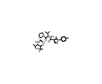 Cc1ccc(-n2ncc(C(=O)N[C@H](C(=O)N3CCC[C@H]3C(=O)N[C@H](C(=O)C(F)(F)F)C(C)C)C(C)C)c2C)cc1